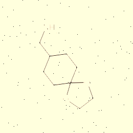 NCC1CCC2(CC1)OCCO2